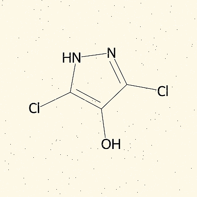 Oc1c(Cl)n[nH]c1Cl